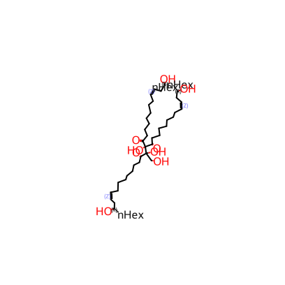 CCCCCC[C@@H](O)C/C=C\CCCCCCCC(=O)C(O)(CO)C(O)(C(=O)CCCCCCC/C=C\C[C@H](O)CCCCCC)C(=O)CCCCCCC/C=C\C[C@H](O)CCCCCC